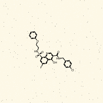 O=C(NCc1ccc(Cl)cc1)c1cnc2c(S(=O)(=O)NCCOc3ccccc3)cc(F)cc2c1O